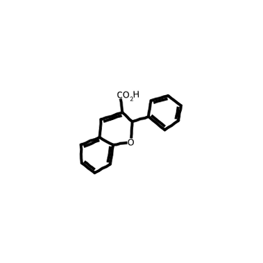 O=C(O)C1=Cc2ccccc2OC1c1ccccc1